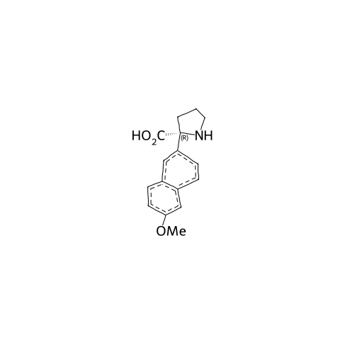 COc1ccc2cc([C@@]3(C(=O)O)CCCN3)ccc2c1